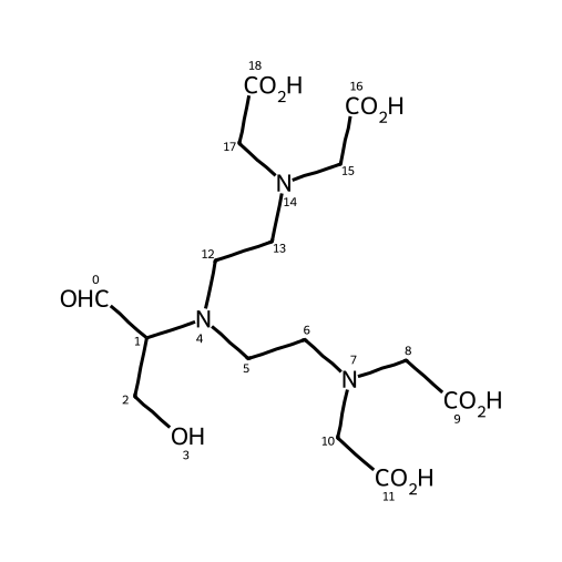 O=CC(CO)N(CCN(CC(=O)O)CC(=O)O)CCN(CC(=O)O)CC(=O)O